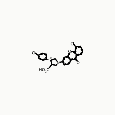 O=C(O)C1CN(c2ccc3c(=O)c4cccc(Cl)c4oc3c2)C[C@H]1c1ccc(Cl)cc1